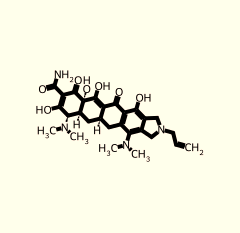 C=CCN1Cc2c(O)c3c(c(N(C)C)c2C1)C[C@H]1C[C@H]2[C@H](N(C)C)C(O)=C(C(N)=O)C(=O)[C@@]2(O)C(O)=C1C3=O